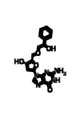 Nc1nc2c(ncn2[C@H]2C[C@H](O)[C@@H](COCC(O)c3ccccc3)O2)c(=O)[nH]1